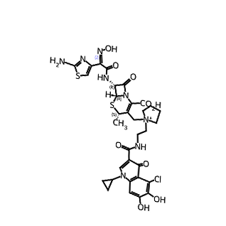 C[C@@H]1S[C@@H]2[C@H](NC(=O)/C(=N\O)c3csc(N)n3)C(=O)N2C(C(=O)O)=C1C[N+]1(CCNC(=O)c2cn(C3CC3)c3cc(O)c(O)c(Cl)c3c2=O)CCCC1